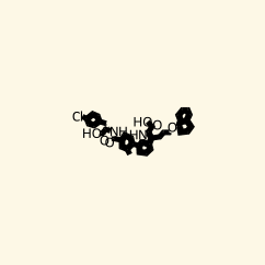 Cc1cc(C(=O)N[C@@H](Cc2ccc(Cl)cc2)C(=O)O)ccc1-c1cccc2c(CCCOc3cccc4ccccc34)c(C(=O)O)[nH]c12